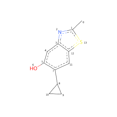 Cc1nc2cc(O)c(C3CC3)cc2s1